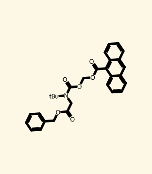 CC(C)(C)N(CC(=O)OCc1ccccc1)C(=O)OCOC(=O)c1c2ccccc2cc2ccccc12